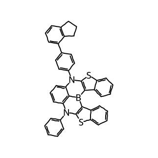 c1ccc(N2c3cccc4c3B(c3c2sc2ccccc32)c2c(sc3ccccc23)N4c2ccc(-c3cccc4c3CCC4)cc2)cc1